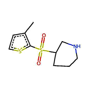 Cc1ccsc1S(=O)(=O)C1CCCNC1